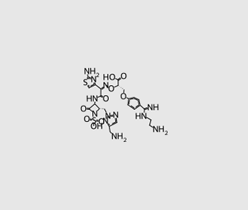 N=C(NCCN)c1ccc(OC[C@H](ON=C(C(=O)N[C@@H]2C(=O)N(S(=O)(=O)O)[C@H]2Cn2ncc(CN)n2)c2csc(N)n2)C(=O)O)cc1